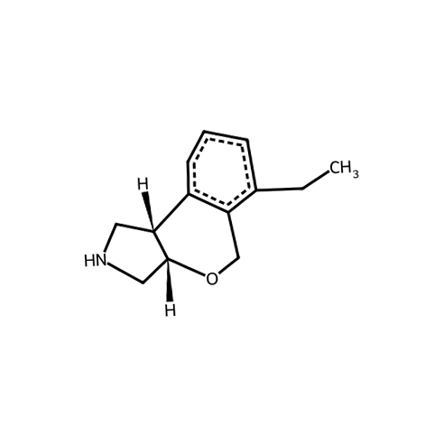 CCc1cccc2c1CO[C@@H]1CNC[C@H]21